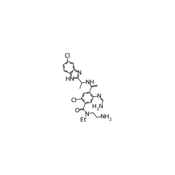 C=C(NC(C)c1nc2cc(Cl)ccc2[nH]1)c1cc(Cl)c(C(=O)N(CC)CCN)cc1/N=C\N